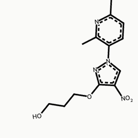 Cc1ccc(-n2cc([N+](=O)[O-])c(OCCCO)n2)c(C)n1